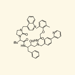 CCC(C)C(C(=O)NC(Cc1ccccc1)C(O)CN(Cc1ccc(-c2ccccn2)cc1)NC(=O)COc1c(C)cccc1C)N1CCN(Cc2ccnc3ccccc23)C1=O